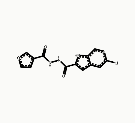 O=C(NNC(=O)c1cc2cc(Cl)ncc2[nH]1)c1ccoc1